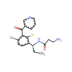 CC[C@H](NC(=O)CCN)c1ccc(Cl)c(C(=O)c2cccnc2)c1F